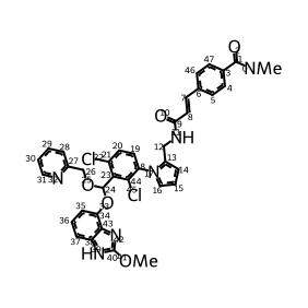 CNC(=O)c1ccc(C=CC(=O)NCc2cccn2-c2ccc(Cl)c(C(OCc3ccccn3)Oc3cccc4[nH]c(OC)nc34)c2Cl)cc1